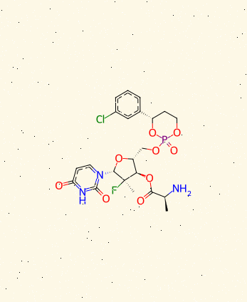 C[C@H](N)C(=O)O[C@@H]1[C@@H](COP2(=O)OCC[C@@H](c3cccc(Cl)c3)O2)O[C@@H](n2ccc(=O)[nH]c2=O)[C@]1(C)F